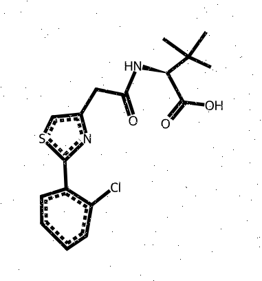 CC(C)(C)[C@H](NC(=O)Cc1csc(-c2ccccc2Cl)n1)C(=O)O